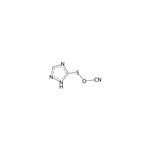 N#COSc1ncn[nH]1